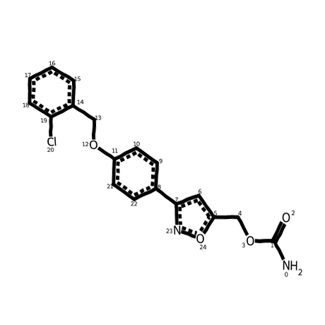 NC(=O)OCc1cc(-c2ccc(OCc3ccccc3Cl)cc2)no1